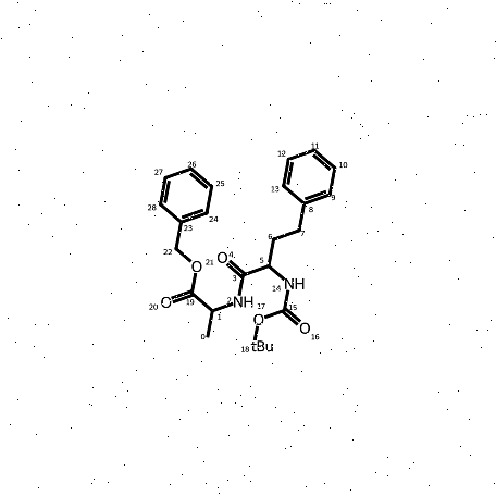 CC(NC(=O)C(CCc1ccccc1)NC(=O)OC(C)(C)C)C(=O)OCc1ccccc1